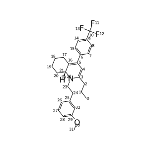 CCCC1=CC(c2ccc(C(F)(F)F)cc2)=C2CCCC[C@H]2N1CCc1cccc(OC)c1